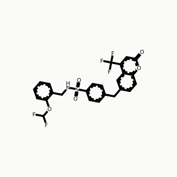 O=c1cc(C(F)(F)F)c2cc(Cc3ccc(S(=O)(=O)NCc4ccccc4OC(F)F)cc3)ccc2o1